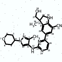 Cc1nn(C2CCOCC2)cc1Nc1nccc(-c2cc(C#N)c3c(c2)[C@@](C)(CO)CN3)n1